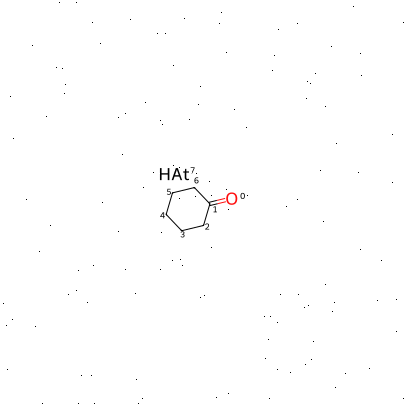 O=C1CCCCC1.[AtH]